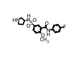 COc1ccc(S(=O)(=O)N[C@H]2CCNC2)cc1C(=O)Nc1ccc(F)cc1